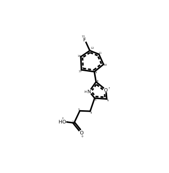 O=C(O)CCc1coc(-c2ccc(F)cc2)n1